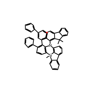 CC1(C)c2ccccc2-c2cccc(N(c3cccc(-c4ccccc4)c3-c3cccc(-c4ccccc4)c3)c3cccc4c3[Si](C)(C)c3ccccc3-4)c21